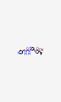 N#C[C@@]1(C2CC2)CCN(c2ccnc(NC(=O)NCc3ccncc3)c2)C1=O